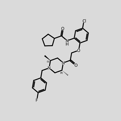 C[C@@H]1CN(Cc2ccc(F)cc2)[C@@H](C)CN1C(=O)COc1ccc(Cl)cc1NC(=O)C1CCCC1